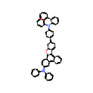 C1=CC2C(=c3ccccc3=C3C4=CC=C(C5=CC=C(N(c6ccccc6)c6ccccc6-c6ccccc6)CC5)CC4OC32)C=C1N(c1ccccc1)c1ccccc1